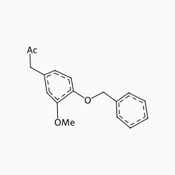 COc1cc(CC(C)=O)ccc1OCc1ccccc1